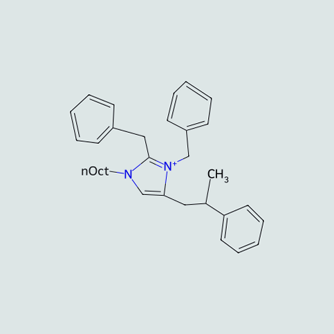 CCCCCCCCn1cc(CC(C)c2ccccc2)[n+](Cc2ccccc2)c1Cc1ccccc1